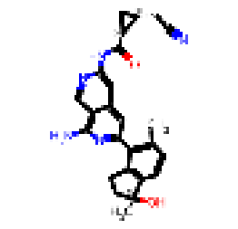 Cc1ccc2c(c1-c1cc3cc(NC(=O)[C@H]4C[C@@H]4CC#N)ncc3c(N)n1)CC[C@@]2(C)O